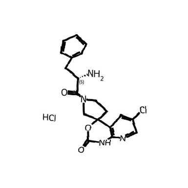 Cl.N[C@@H](Cc1ccccc1)C(=O)N1CCC2(C1)OC(=O)Nc1ncc(Cl)cc12